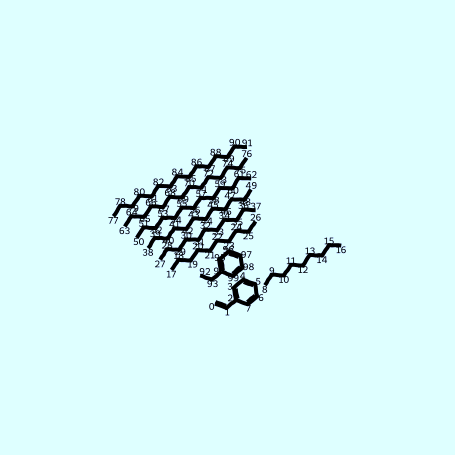 C=Cc1ccccc1.CCCCCCCCC.CCCCCCCCCC.CCCCCCCCCCC.CCCCCCCCCCCC.CCCCCCCCCCCCC.CCCCCCCCCCCCCC.CCCCCCCCCCCCCCC.CCc1ccccc1